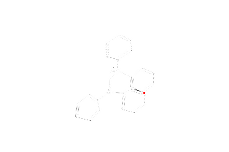 c1ccc([As](C[As](c2ccccc2)c2ccccc2)c2ccccc2)cc1